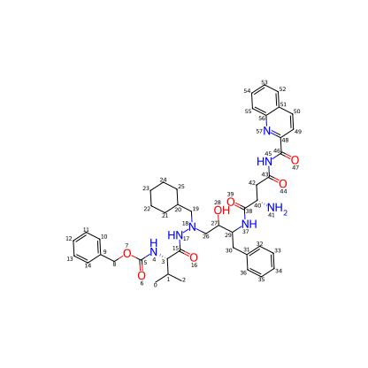 CC(C)[C@H](NC(=O)OCc1ccccc1)C(=O)NN(CC1CCCCC1)CC(O)C(Cc1ccccc1)NC(=O)[C@@H](N)CC(=O)NC(=O)c1ccc2ccccc2n1